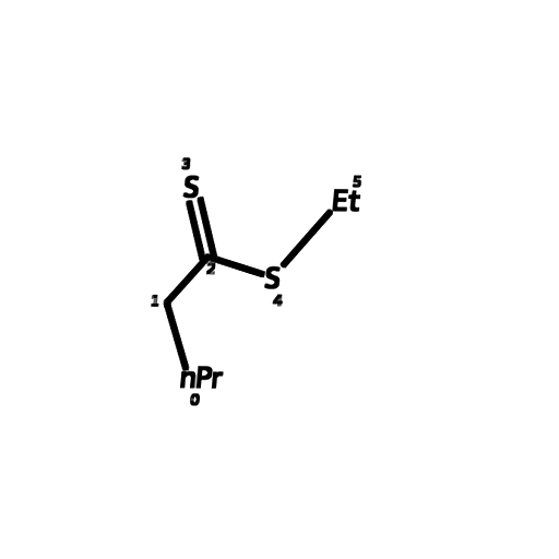 CCCCC(=S)SCC